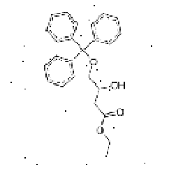 CCOC(=O)CC(O)COC(c1ccccc1)(c1ccccc1)c1ccccc1